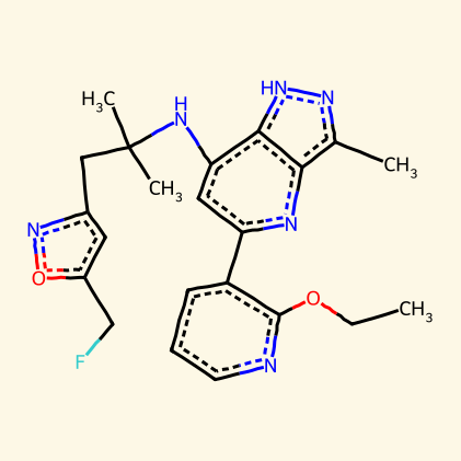 CCOc1ncccc1-c1cc(NC(C)(C)Cc2cc(CF)on2)c2[nH]nc(C)c2n1